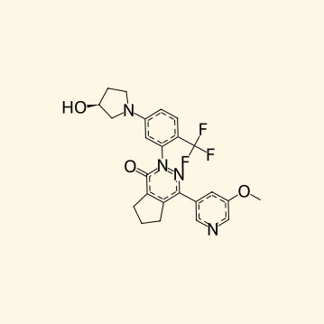 COc1cncc(-c2nn(-c3cc(N4CC[C@H](O)C4)ccc3C(F)(F)F)c(=O)c3c2CCC3)c1